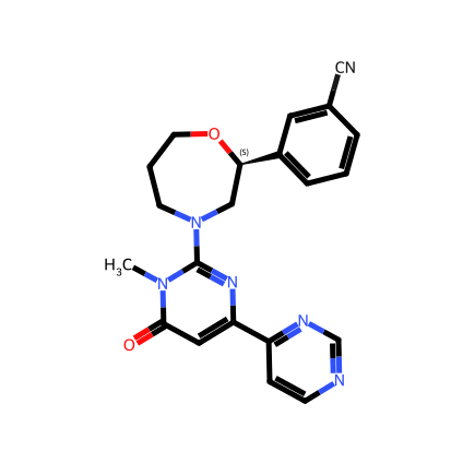 Cn1c(N2CCCO[C@@H](c3cccc(C#N)c3)C2)nc(-c2ccncn2)cc1=O